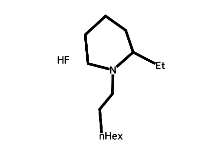 CCCCCCCCN1CCCCC1CC.F